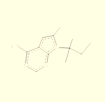 CCC(C)(C)n1c(C)cc2c(N)ncnc21